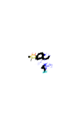 C=S(=O)(c1ccc2nccc(Nc3n[nH]c(C(F)(F)F)c3C)c2c1)C(C)(C)C